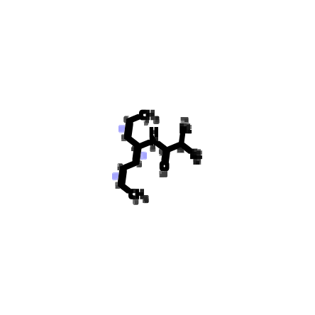 C\C=C/C=C(\C=C/C)NC(=O)C(CC)CC